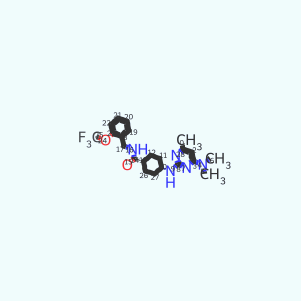 Cc1cc(N(C)C)nc(N[C@H]2CC[C@@H](C(=O)NCc3ccccc3OC(F)(F)F)CC2)n1